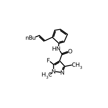 CCCCC=Cc1ccccc1NC(=O)c1c(C)nn(C)c1F